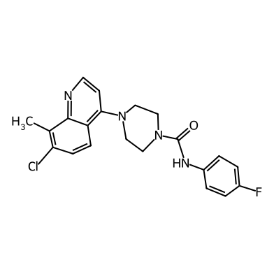 Cc1c(Cl)ccc2c(N3CCN(C(=O)Nc4ccc(F)cc4)CC3)ccnc12